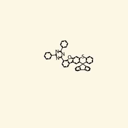 c1ccc(-c2nc(-c3ccccc3)nc(-c3cccc4c3oc3cc5c(cc34)C3(c4ccccc4S5)c4ccccc4-c4ccccc43)n2)cc1